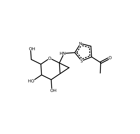 CC(=O)c1cnc(NC23CC2C(O)C(O)C(CO)O3)s1